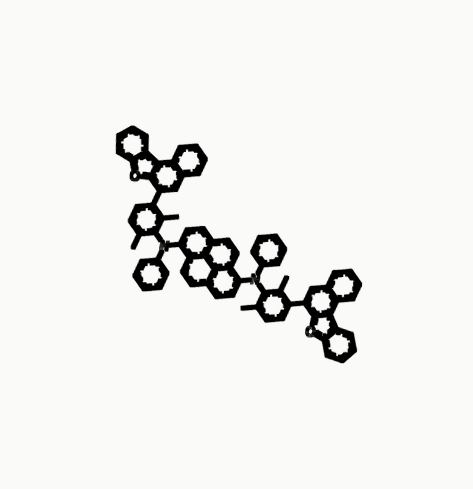 Cc1ccc(-c2cc3ccccc3c3c2oc2ccccc23)c(C)c1N(c1ccccc1)c1ccc2ccc3c(N(c4ccccc4)c4c(C)ccc(-c5cc6ccccc6c6c5oc5ccccc56)c4C)ccc4ccc1c2c43